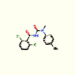 CN(C(=O)NC(=O)c1c(Cl)cccc1Cl)c1ccc(C(C)(C)C)cc1